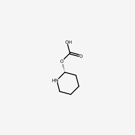 O=C(O)O[C@@H]1CCCCN1